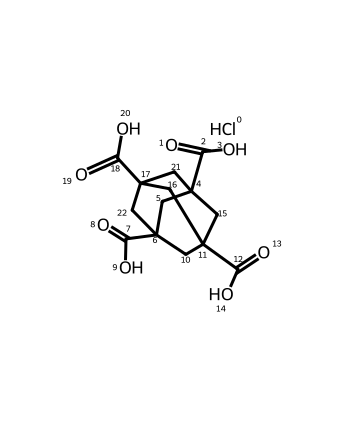 Cl.O=C(O)C12CC3(C(=O)O)CC(C(=O)O)(C1)CC(C(=O)O)(C2)C3